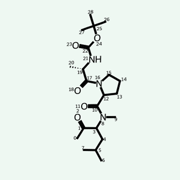 CC(=O)C(CC(C)C)N(C)C(=O)C1CCCN1C(=O)[C@H](C)NC(=O)OC(C)(C)C